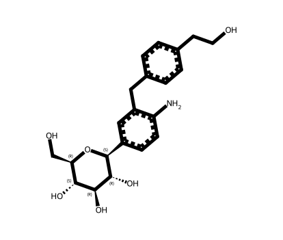 Nc1ccc([C@@H]2O[C@H](CO)[C@@H](O)[C@H](O)[C@H]2O)cc1Cc1ccc(CCO)cc1